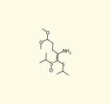 COC(CCC(N)=C(SC(C)C)[S+]([O-])C(C)C)OC